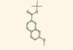 COc1ccc2ccc(C(=O)OC(C)(C)C)cc2c1